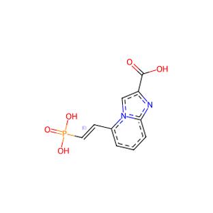 O=C(O)c1cn2c(/C=C/P(=O)(O)O)cccc2n1